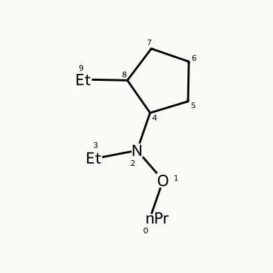 CCCON(CC)C1CCCC1CC